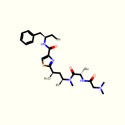 CCC(C)[C@H](NC(=O)CN(C)C)C(=O)N(C)[C@H](C[C@@H](OC(C)=O)c1nc(C(=O)N[C@@H](Cc2ccccc2)CC(C)C)cs1)C(C)C